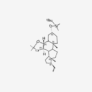 C=C[C@H]1CCC2C3C(CC[C@@]21C)[C@@]1(C)CC[C@@H](O[Si](C)(C)C(C)(C)C)CC1[C@H]1OC(C)(C)O[C@H]31